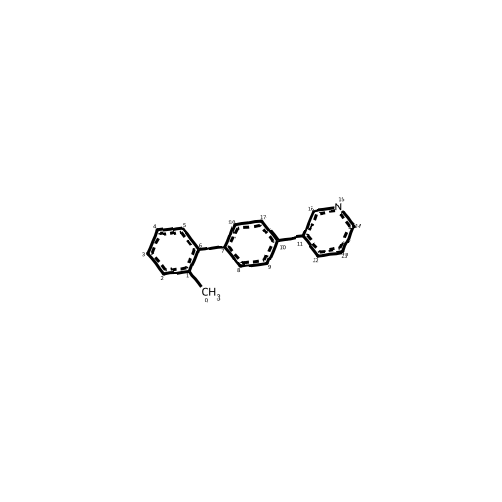 Cc1ccccc1-c1ccc(-c2cccnc2)cc1